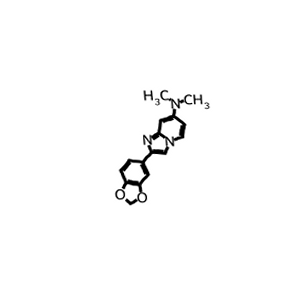 CN(C)c1ccn2cc(-c3ccc4c(c3)OCO4)nc2c1